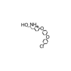 NC(CO)Cc1ccc(Oc2ccc(Oc3ccc(Cl)cc3)cc2)cc1